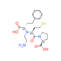 NCCN([C@@H](CCc1ccccc1)C(=O)O)[C@@H](CCS)C(=O)N1CCC[C@H]1C(=O)O